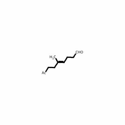 CC(=O)CC/C(C)=C/CCC=O